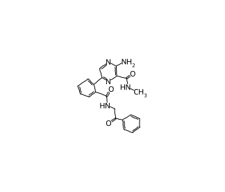 CNC(=O)c1nc(-c2ccccc2C(=O)NCC(=O)c2ccccc2)cnc1N